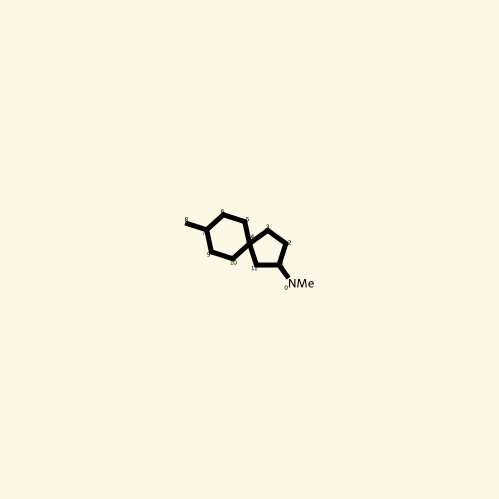 CNC1CCC2(CCC(C)CC2)C1